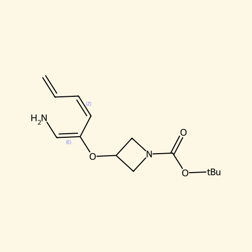 C=C/C=C\C(=C/N)OC1CN(C(=O)OC(C)(C)C)C1